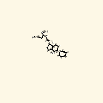 CNCC(NC)ON=C[C@H]1CC[C@]2(O)C[C@@H](c3ccccc3)CC[C@]12C